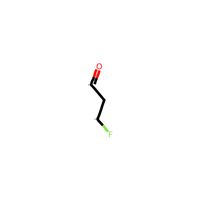 O=[C]C[CH]F